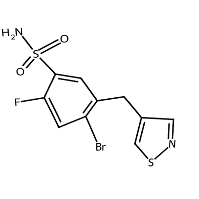 NS(=O)(=O)c1cc(Cc2cnsc2)c(Br)cc1F